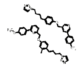 Cc1cc(OCc2cccc(-c3ccc(OC(F)(F)F)cc3)n2)ccc1CCCCn1ccnn1.FC(F)(F)c1ccc(-c2cncc(COc3ccc(CCCCn4ccnn4)cc3)c2)cc1